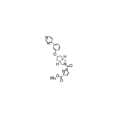 CC(C)(C)OC(=O)c1ccn(C(=O)N2C[C@H]3C[C@H](Oc4cccc(-c5ccncn5)c4)C[C@H]3C2)n1